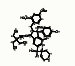 CC[C@@](O)(c1cc(F)c2c(c1)C(=O)N(Cc1ccc(OC)cc1C(=O)O)[C@@]2(OC)c1ccc(Cl)cc1)C1(F)CCOCC1.NC(CO)(CO)CO